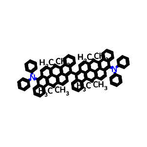 CC1(C)c2ccc3c(N(c4ccccc4)c4ccccc4)c4ccccc4c4c3c2-c2c(ccc3c(-c5c6ccccc6c6c7c8c(ccc57)C(C)(C)c5c7ccccc7c(N(c7ccccc7)c7ccccc7)c7ccc(c-8c57)C6(C)C)c5ccccc5c1c23)C4(C)C